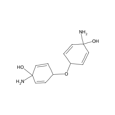 NC1(O)C=CC(OC2C=CC(N)(O)C=C2)C=C1